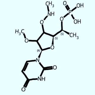 CNOC1C(OC)[C@H](n2ccc(=O)[nH]c2=O)O[C@@H]1[C@H](C)OP(=O)(O)O